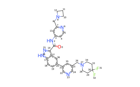 O=C(Nc1ccnc(CN2CCC2)c1)c1n[nH]c2ccc(-c3cncc(CN4CCC(F)(F)CC4)c3)cc12